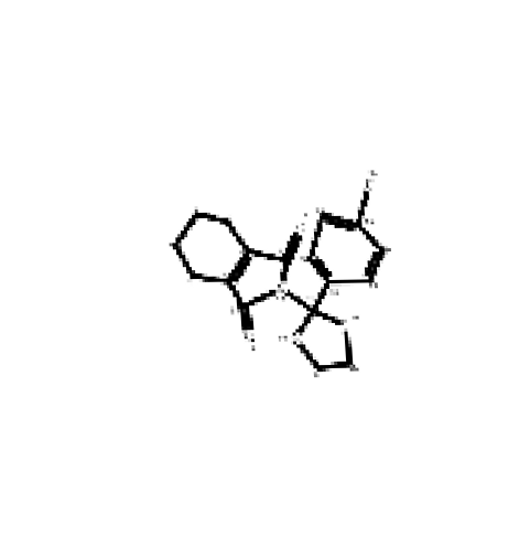 O=C1C2=C(CCCC2)C(=O)N1C1(c2ccc(Cl)cc2)SCCS1